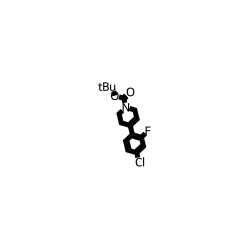 CC(C)(C)OC(=O)N1CC=C(c2ccc(Cl)cc2F)CC1